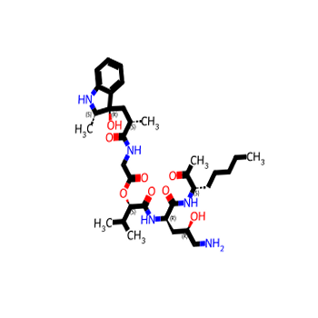 CCCCC[C@H](NC(=O)[C@@H](C[C@@H](O)CN)NC(=O)[C@@H](OC(=O)CNC(=O)[C@@H](C)C[C@@]1(O)c2ccccc2N[C@H]1C)C(C)C)C(C)=O